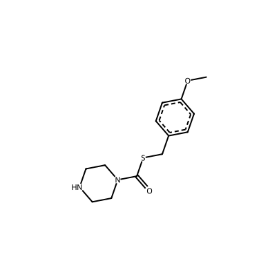 COc1ccc(CSC(=O)N2CCNCC2)cc1